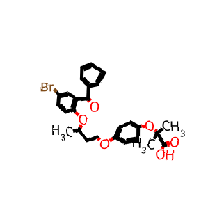 CC(CCOc1ccc(OC(C)(C)C(=O)O)cc1)Oc1ccc(Br)cc1C(=O)c1ccccc1